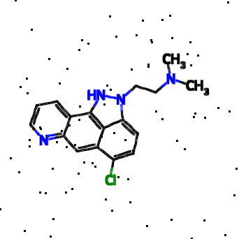 CN(C)CCN1Nc2c3cccnc3cc3c(Cl)ccc1c23